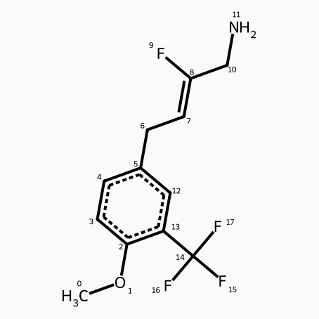 COc1ccc(CC=C(F)CN)cc1C(F)(F)F